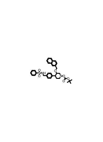 CC(C)(C)OC(=O)ON1CCC(c2ccc(CNS(=O)(=O)c3ccccc3)cc2)C(OCc2ccc3ccccc3c2)C1